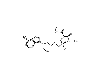 CC(C)(C)OC(=O)C(OP(=O)(O)COCCC(CN)n1cnc2c(N)ncnc21)C(=O)OC(C)(C)C